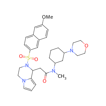 COc1ccc2cc(S(=O)(=O)N3CCn4cccc4C3CC(=O)N(C)C3CCCC(N4CCOCC4)C3)ccc2c1